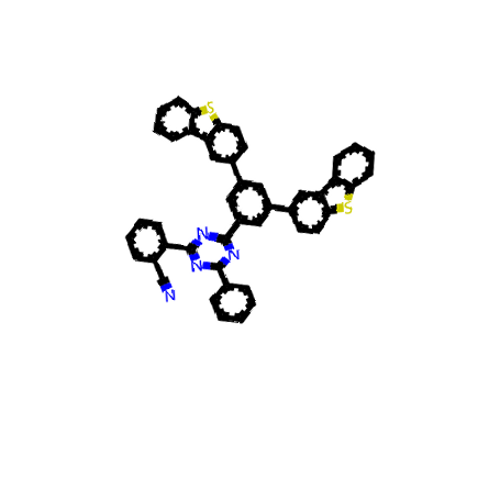 N#Cc1ccccc1-c1nc(-c2ccccc2)nc(-c2cc(-c3ccc4sc5ccccc5c4c3)cc(-c3ccc4sc5ccccc5c4c3)c2)n1